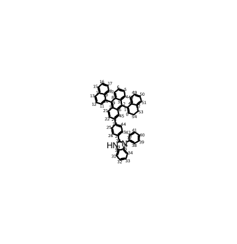 C1=C(c2c3ccccc3c(-c3cccc4ccccc34)c3ccc(-c4ccc(C5Nc6ccccc6N5c5ccccc5)cc4)cc23)c2ccccc2CC1